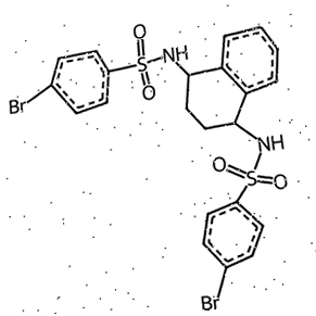 O=S(=O)(NC1CCC(NS(=O)(=O)c2ccc(Br)cc2)c2ccccc21)c1ccc(Br)cc1